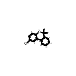 CC1(C)Oc2ccc(Cl)cc2-c2ccccc21